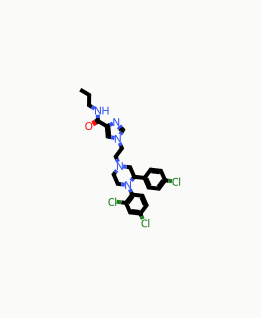 CCCNC(=O)c1cn(CCN2CCN(c3ccc(Cl)cc3Cl)C(c3ccc(Cl)cc3)C2)cn1